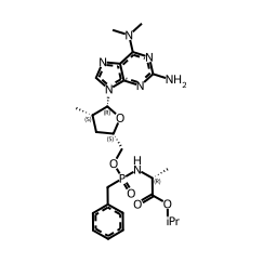 CC(C)OC(=O)[C@@H](C)NP(=O)(Cc1ccccc1)OC[C@@H]1C[C@H](C)[C@H](n2cnc3c(N(C)C)nc(N)nc32)O1